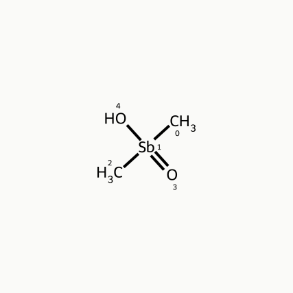 [CH3][Sb]([CH3])(=[O])[OH]